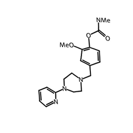 CNC(=O)Oc1ccc(CN2CCN(c3ccccn3)CC2)cc1OC